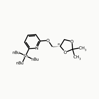 CCC[CH2][Sn]([CH2]CCC)([CH2]CCC)[c]1cccc(OC[C@@H]2COC(C)(C)O2)n1